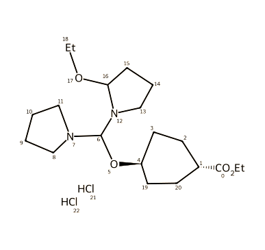 CCOC(=O)[C@H]1CC[C@H](OC(N2CCCC2)N2CCCC2OCC)CC1.Cl.Cl